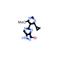 COc1ncnc(C2CC2)c1-c1ncc2[nH]nc(Br)c2n1